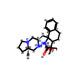 CC(C)(C)C1CCc2ccccc2C1(C[C@H]1CN2CCC[C@@H]2CN1)NC(=O)O